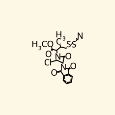 COC(=O)C(C(C)CSSC#N)N1C(=O)C(N2C(=O)c3ccccc3C2=O)C1Cl